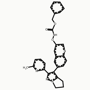 Cc1cccc(-c2nn3c(c2-c2ccc4ncc(ONC(=O)OCc5ccccc5)cc4c2)CCC3)n1